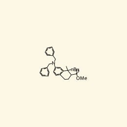 CCCCC1(C)c2cc(N(Cc3ccccc3)Cc3ccccc3)ccc2CCC1C(=O)OC